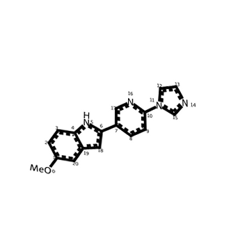 COc1ccc2[nH]c(-c3ccc(-n4ccnc4)nc3)cc2c1